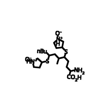 CCCCC(CC(C)C(CCC(N)C(=O)O)SC1CC[NH+]([O-])C1)SC1CC[NH+]([O-])C1